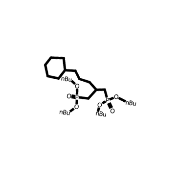 CCCCOP(=O)(CC(CCCC1CCCCC1)CP(=O)(OCCCC)OCCCC)OCCCC